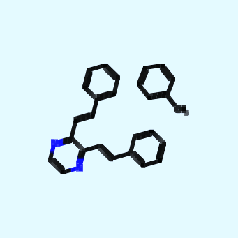 C(=Cc1nccnc1C=Cc1ccccc1)c1ccccc1.Cc1ccccc1